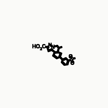 CC1Cn2nc(C(=O)O)cc2-c2ccc(-c3cccc(S(C)(=O)=O)c3)cc21